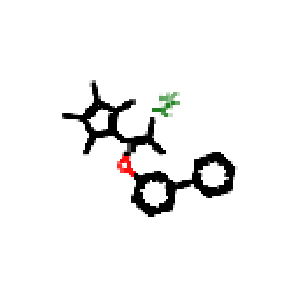 CC1=C(C)C(C)[C]([Ti]([O]c2cccc(-c3ccccc3)c2)=[C](C)C)=C1C.Cl.Cl